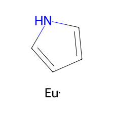 [Eu].c1cc[nH]c1